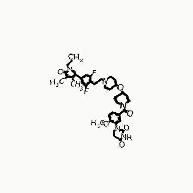 CCCn1cc(-c2cc(F)c(CCN3CCC(OC4CCN(C(=O)c5ccc(OC)c(N6CCC(=O)NC6=O)c5)CC4)CC3)c(F)c2)c(C)c(C)c1=O